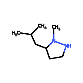 CC(C)CC1CCNN1C